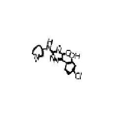 CN1CCC[C@@H](Nc2nnc(-c3ccc(Cl)cc3O)c(=O)n2C)C1